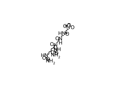 NOC(=O)NCCCCC(NC(=O)ON)C(=O)NCCC(=O)NCCNC(=O)CCN1C(=O)C=CC1=O